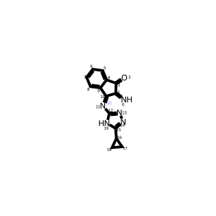 N=c1c(=O)c2ccccc2/c1=N/c1nnc(C2CC2)[nH]1